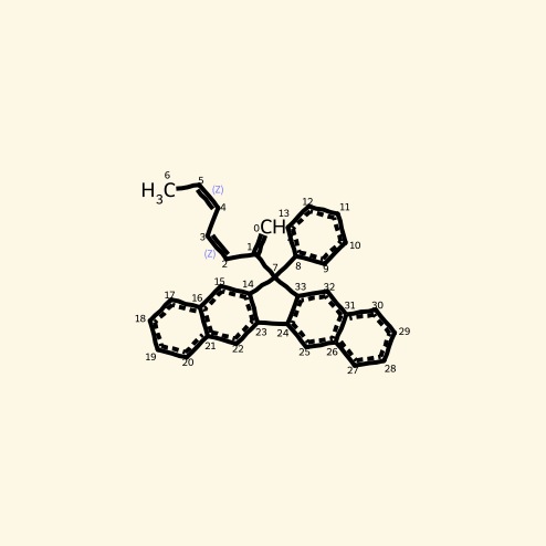 C=C(/C=C\C=C/C)C1(c2ccccc2)c2cc3ccccc3cc2-c2cc3ccccc3cc21